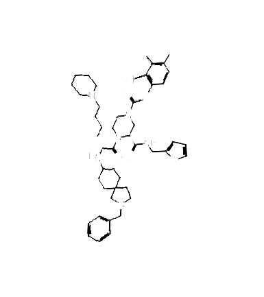 Cc1ccc(OC(=O)N2CCN(C(=O)[C@@H](CCCCN3CCCCC3)NC3CCC4(CC3)CCN(Cc3ccccc3)C4)[C@H](C(=O)NCc3cccs3)C2)c(Cl)c1C